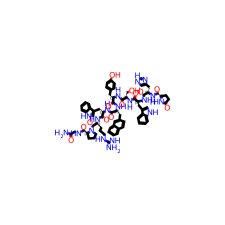 N=C(N)NCCC[C@H](NC(=O)[C@H](Cc1c[nH]c2ccccc12)NC(=O)[C@@H](Cc1ccc2ccccc2c1)NC(=O)[C@H](Cc1ccc(O)cc1)NC(=O)[C@H](CO)NC(=O)[C@H](Cc1c[nH]c2ccccc12)NC(=O)[C@H](Cc1c[nH]cn1)NC(=O)[C@@H]1CCC(=O)N1)C(=O)N1CCC[C@H]1C(=O)NCC(N)=O